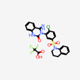 N=c1c2ccccc2[nH]c(=O)n1-c1cc(S(=O)(=O)N2CCCc3ccccc32)ccc1Cl.O=C(O)C(F)(F)F